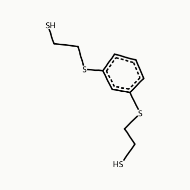 SCCSc1cccc(SCCS)c1